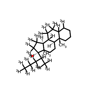 [2H]C1CCC[C@]2(C)[C@H]3CC[C@]4(C)[C@@]([2H])([C@]([2H])(C([2H])([2H])[2H])C([2H])([2H])C([2H])([2H])C([2H])([2H])[2H])C([2H])([2H])C([2H])([2H])[C@@]4([2H])[C@]3([2H])C([2H])([2H])C([2H])([2H])C12[2H]